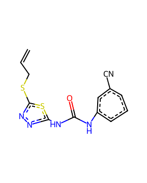 C=CCSc1nnc(NC(=O)Nc2cccc(C#N)c2)s1